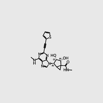 CNC(=O)C12CC1[C@@H](n1cnc3c(NC)nc(C#Cc4cccs4)nc31)[C@H](O)[C@@H]2O